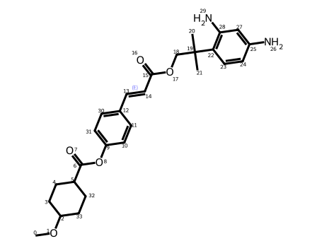 COC1CCC(C(=O)Oc2ccc(/C=C/C(=O)OCC(C)(C)c3ccc(N)cc3N)cc2)CC1